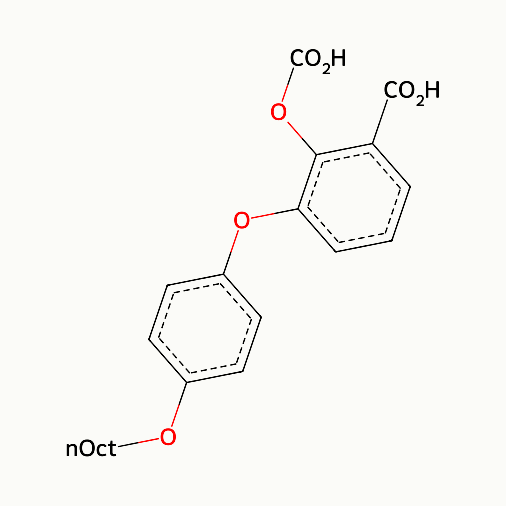 CCCCCCCCOc1ccc(Oc2cccc(C(=O)O)c2OC(=O)O)cc1